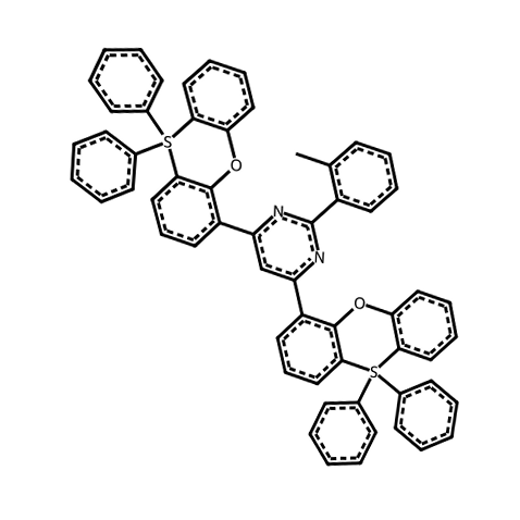 Cc1ccccc1-c1nc(-c2cccc3c2Oc2ccccc2S3(c2ccccc2)c2ccccc2)cc(-c2cccc3c2Oc2ccccc2S3(c2ccccc2)c2ccccc2)n1